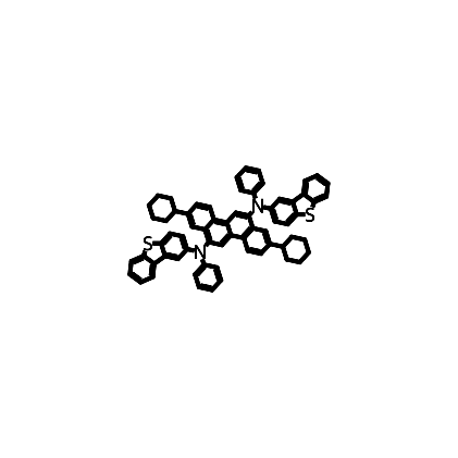 c1ccc(N(c2ccc3sc4ccccc4c3c2)c2cc3c4ccc(C5CCCCC5)cc4c(N(c4ccccc4)c4ccc5sc6ccccc6c5c4)cc3c3ccc(C4CCCCC4)cc23)cc1